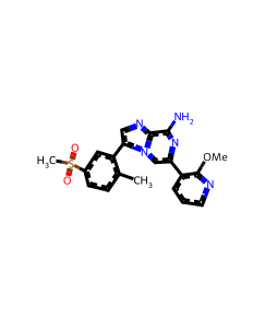 COc1ncccc1-c1cn2c(-c3cc(S(C)(=O)=O)ccc3C)cnc2c(N)n1